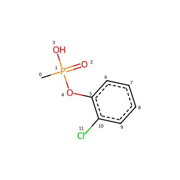 CP(=O)(O)Oc1ccccc1Cl